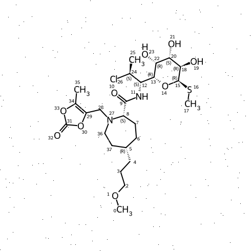 COCCC[C@H]1CC[C@@H](C(=O)N[C@@H]([C@H]2O[C@H](SC)[C@H](O)[C@@H](O)[C@H]2O)[C@H](C)Cl)N(Cc2oc(=O)oc2C)CC1